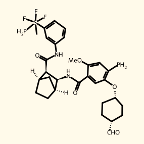 COc1cc(P)c(O[C@H]2CC[C@@H](C=O)CC2)cc1C(=O)N[C@H]1[C@H]2CC[C@H](C2)[C@H]1C(=O)Nc1cccc(S(C)(F)(F)(F)P)c1